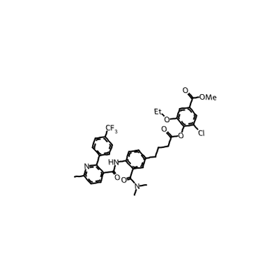 CCOc1cc(C(=O)OC)cc(Cl)c1OC(=O)CCCc1ccc(NC(=O)c2ccc(C)nc2-c2ccc(C(F)(F)F)cc2)c(C(=O)N(C)C)c1